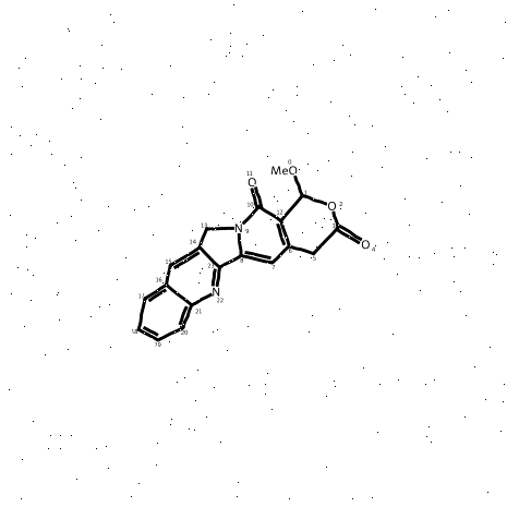 COC1OC(=O)Cc2cc3n(c(=O)c21)Cc1cc2ccccc2nc1-3